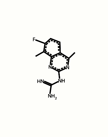 Cc1nc(NC(=N)N)nc2c(C)c(F)ccc12